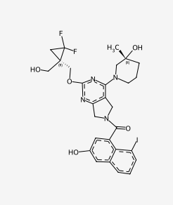 C[C@@]1(O)CCCN(c2nc(OC[C@]3(CO)CC3(F)F)nc3c2CN(C(=O)c2cc(O)cc4cccc(I)c24)C3)C1